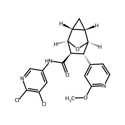 COc1cc([C@H]2[C@H]3O[C@H]([C@@H]4C[C@@H]43)[C@@H]2C(=O)Nc2cnc(Cl)c(Cl)c2)ccn1